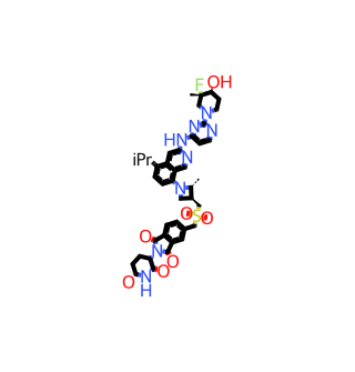 CC(C)c1ccc(N2C[C@H](CS(=O)(=O)Cc3ccc4c(c3)C(=O)N(C3CCC(=O)NC3=O)C4=O)[C@H]2C)c2cnc(Nc3ccnc(N4CC[C@@H](O)[C@@](C)(F)C4)n3)cc12